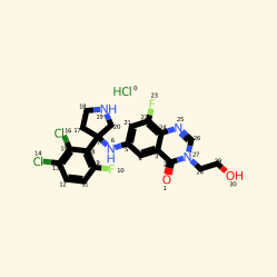 Cl.O=c1c2cc(NC3(c4c(F)ccc(Cl)c4Cl)CCNC3)cc(F)c2ncn1CCO